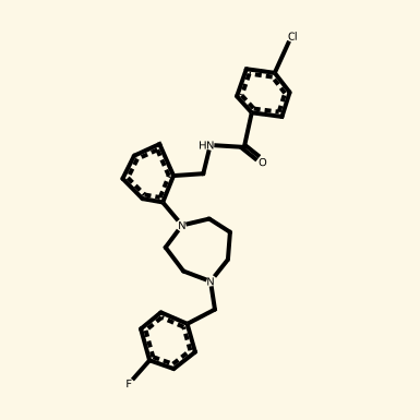 O=C(NCc1ccccc1N1CCCN(Cc2ccc(F)cc2)CC1)c1ccc(Cl)cc1